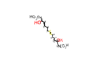 O=C(O)CC(O)C=CCCSSCCC=CC(O)CC(=O)O